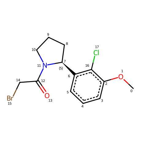 COc1cccc([C@@H]2CCCN2C(=O)CBr)c1Cl